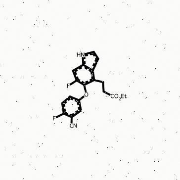 CCOC(=O)CCc1c(Oc2ccc(F)c(C#N)c2)c(F)cc2[nH]ccc12